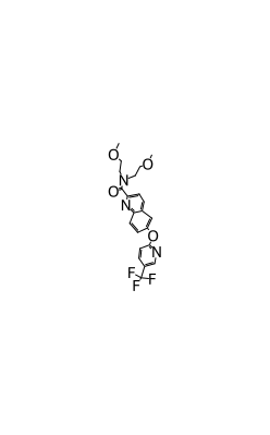 COCCN(CCOC)C(=O)c1ccc2cc(Oc3ccc(C(F)(F)F)cn3)ccc2n1